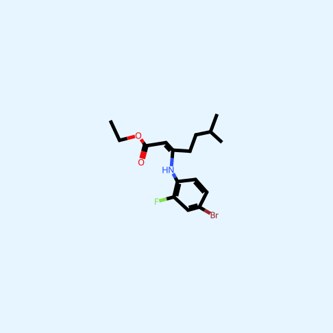 CCOC(=O)/C=C(/CCC(C)C)Nc1ccc(Br)cc1F